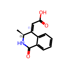 C[C@@H]1NC(=O)c2ccccc2/C1=C\C(=O)O